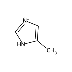 CC1=C[N+]=CN1